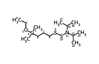 CCO[Si](C)(C)CCCSSN(C(C)C)C(C)C